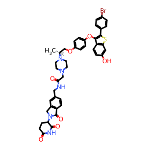 C[C@H](COc1ccc(Oc2c(-c3ccc(Br)cc3)sc3cc(O)ccc23)cc1)N1CCN(CC(=O)NCc2ccc3c(c2)CN(C2CCC(=O)NC2=O)C3=O)CC1